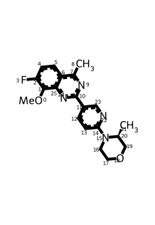 COc1c(F)ccc2c(C)nc(-c3ccc(N4CCOC[C@@H]4C)nc3)nc12